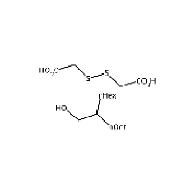 CCCCCCCCC(CO)CCCCCC.O=C(O)CSSCC(=O)O